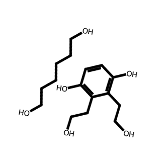 OCCCCCCO.OCCc1c(O)ccc(O)c1CCO